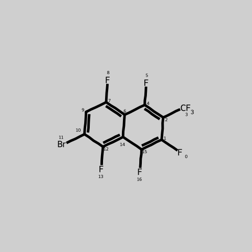 Fc1c(C(F)(F)F)c(F)c2c(F)cc(Br)c(F)c2c1F